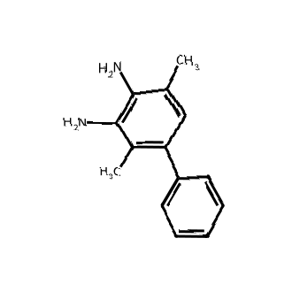 Cc1cc(-c2ccccc2)c(C)c(N)c1N